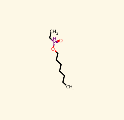 CCCCCCCO[PH](=O)CC